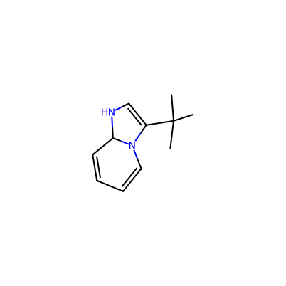 CC(C)(C)C1=CNC2C=CC=CN12